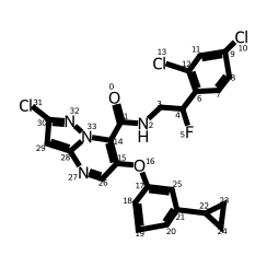 O=C(NCC(F)c1ccc(Cl)cc1Cl)c1c(Oc2cccc(C3CC3)c2)cnc2cc(Cl)nn12